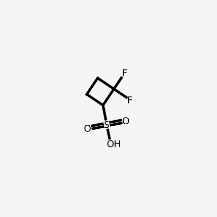 O=S(=O)(O)C1CCC1(F)F